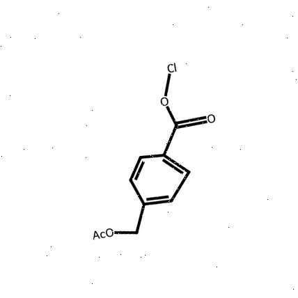 CC(=O)OCc1ccc(C(=O)OCl)cc1